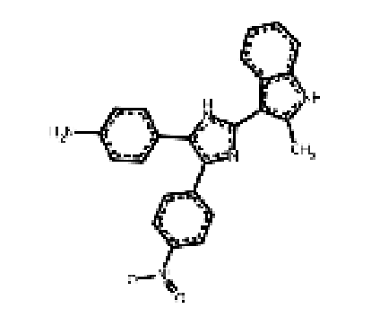 Cc1[nH]c2ccccc2c1-c1nc(-c2ccc([N+](=O)[O-])cc2)c(-c2ccc(N)cc2)[nH]1